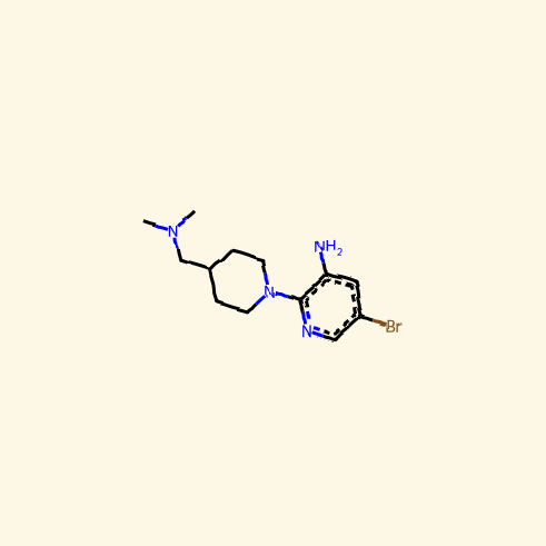 CN(C)CC1CCN(c2ncc(Br)cc2N)CC1